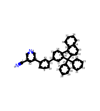 N#Cc1cncc(-c2cccc(-c3ccc4c(c3)C(c3ccccc3)(c3ccccc3)c3ccc5ccccc5c3-4)c2)c1